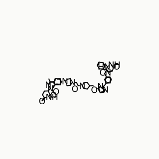 Cc1nn(C2CCC(=O)NC2=O)c(=O)c2cc(N3CCN(CC(=O)N4CCC(COc5ccnc(-c6cccc(CC7(C8(C#N)C=CC=CC8)C=CC(=O)NN7)c6)n5)CC4)CC3)ccc12